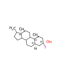 CC1CCC2C3CC[C@@H]4C[C@](O)(I)CC[C@]4(C)C3CC[C@]12C